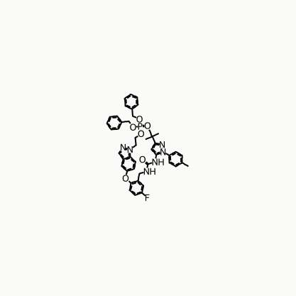 Cc1ccc(-n2nc(C(C)(C)C)cc2NC(=O)NCc2cc(F)ccc2Oc2ccc3c(cnn3CCOP(=O)(OCc3ccccc3)OCc3ccccc3)c2)cc1